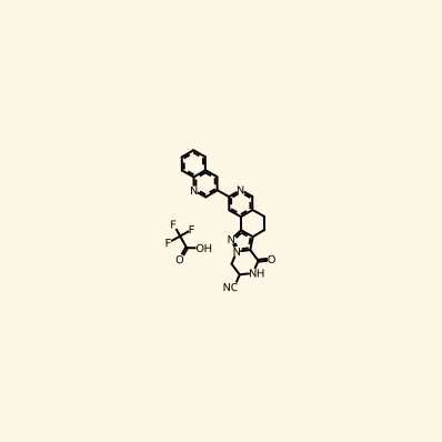 N#CC1Cn2nc3c(c2C(=O)N1)CCc1cnc(-c2cnc4ccccc4c2)cc1-3.O=C(O)C(F)(F)F